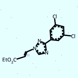 CCOC(=O)/C=C/n1cnc(-c2cc(Cl)cc(Cl)c2)n1